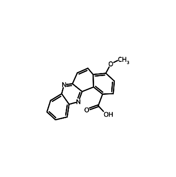 COc1ccc(C(=O)O)c2c1ccc1nc3ccccc3nc12